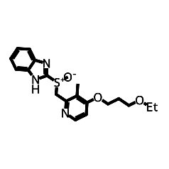 CCOCCCOc1ccnc(C[S+]([O-])c2nc3ccccc3[nH]2)c1C